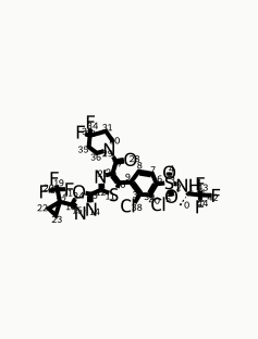 C[C@H](NS(=O)(=O)c1ccc(-c2sc(-c3nnc(C4(C(F)(F)F)CC4)o3)nc2C(=O)N2CCC(F)(F)CC2)c(Cl)c1Cl)C(F)(F)F